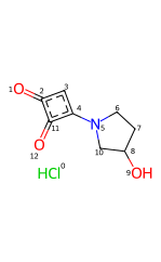 Cl.O=c1cc(N2CCC(O)C2)c1=O